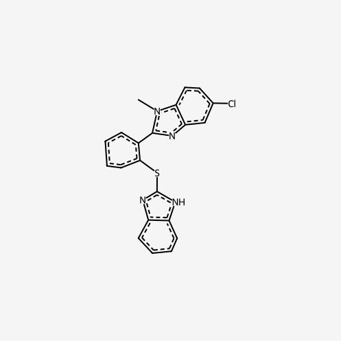 Cn1c(-c2ccccc2Sc2nc3ccccc3[nH]2)nc2cc(Cl)ccc21